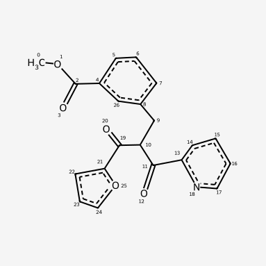 COC(=O)c1cccc(CC(C(=O)c2ccccn2)C(=O)c2ccco2)c1